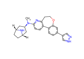 CN(c1ccc2c(n1)CCOc1cc(-c3cn[nH]c3)ccc1-2)[C@@H]1C[C@H]2CC[C@@H](C1)N2